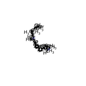 C/C=C(/C)C(NC(=O)C1CCCC(c2ccc(OC(=O)CC/C(=C/NCCC(C)(C)OCCC(C)(C)OC(C)C)N=N)cc2)N1CCCC)=C(C)C